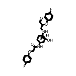 O=CC(CNC12CCC(NC(=O)COc3ccc(F)cc3)(CC1)C[C@@H]2O)Oc1ccc(F)cc1